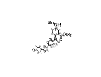 COC(=O)[C@@H]1C[C@H](NC(C)(C)C)CC[C@@H]1N1CCC(NC(=O)c2csc(-c3ccc(Cl)cc3)n2)C1=O